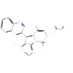 [2H]C1([2H])[C@@H](NC(=O)C=C)C=C(C)c2c(-c3cnc4ccccc4c3)c3c(N)ncnc3n21